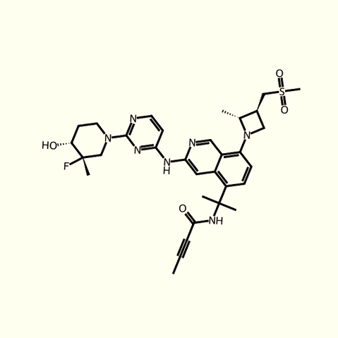 CC#CC(=O)NC(C)(C)c1ccc(N2C[C@H](CS(C)(=O)=O)[C@H]2C)c2cnc(Nc3ccnc(N4CC[C@@H](O)[C@@](C)(F)C4)n3)cc12